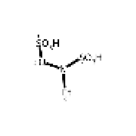 CCN(OS(=O)(=O)O)S(=O)(=O)O